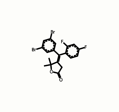 CC1(C)OC(=O)CC1=C(c1cc(Br)cc(Br)c1)c1ccc(F)cc1F